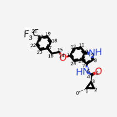 C[C@H]1C[C@@H]1C(=O)Nc1c[nH]c2ccc(OCCc3ccc(C(F)(F)F)cc3)cc12